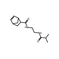 CC(C)C(=O)NCCNC(=O)C1CC2C=CC1C2